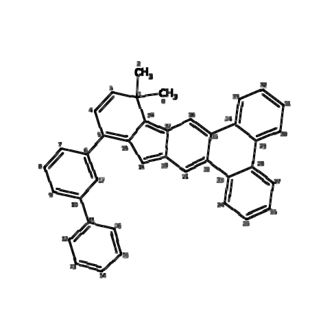 CC1(C)C=CC(c2cccc(-c3ccccc3)c2)=C2C=c3cc4c5ccccc5c5ccccc5c4cc3=C21